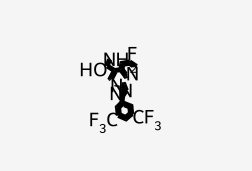 NC(O)/C(=C/n1cnc(-c2cc(C(F)(F)F)cc(C(F)(F)F)c2)n1)c1cncc(F)c1